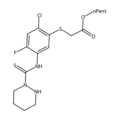 CCCCCOC(=O)CSc1cc(NC(=S)N2CCCCN2)c(F)cc1Cl